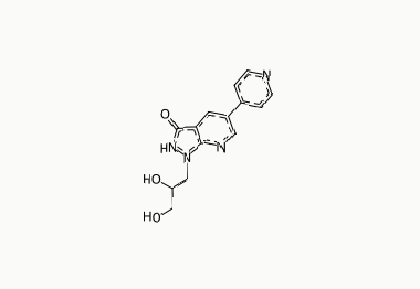 O=c1[nH]n(CC(O)CO)c2ncc(-c3ccncc3)cc12